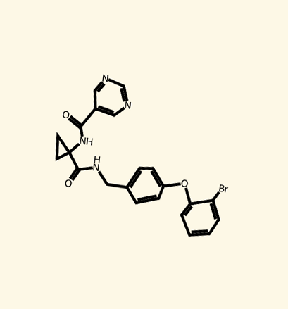 O=C(NC1(C(=O)NCc2ccc(Oc3ccccc3Br)cc2)CC1)c1cncnc1